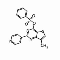 Cc1csc2c(OS(=O)(=O)c3ccccc3)nc(-c3ccncc3)nc12